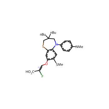 CCCCC1(CCCC)CSc2cc(O/C=C(\F)C(=O)O)c(SC)cc2N(c2ccc(NC)cc2)C1